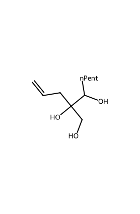 C=CCC(O)(CO)C(O)CCCCC